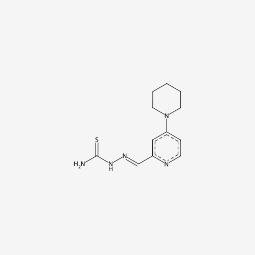 NC(=S)NN=Cc1cc(N2CCCCC2)ccn1